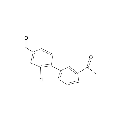 CC(=O)c1cccc(-c2ccc(C=O)cc2Cl)c1